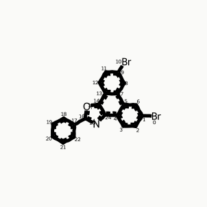 Brc1ccc2c(c1)c1cc(Br)ccc1c1oc(-c3ccccc3)nc21